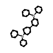 c1ccc(N(c2ccccc2)c2ccc(-c3cccc(N(c4ccccc4)c4ccccc4)c3)cc2)cc1